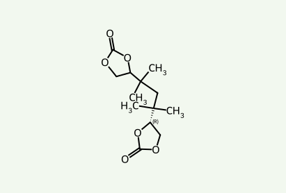 CC(C)(CC(C)(C)[C@@H]1COC(=O)O1)C1COC(=O)O1